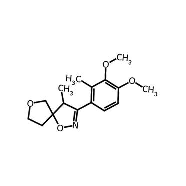 COc1ccc(C2=NOC3(CCOC3)C2C)c(C)c1OC